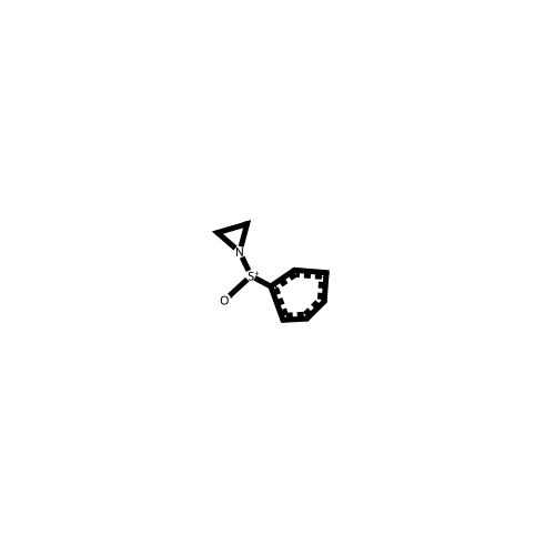 [O-][S+](c1ccccc1)N1CC1